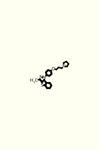 Cc1nn(-c2ccc(OCCCN3CCCC3)cc2)c2c1sc1ccccc12